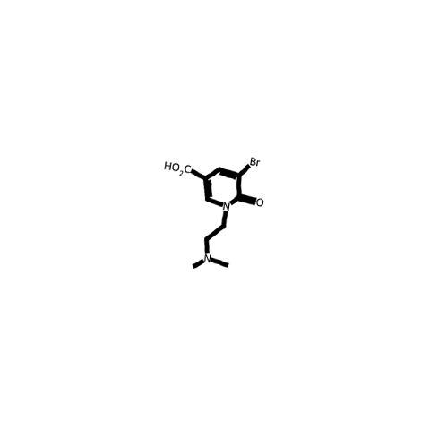 CN(C)CCn1cc(C(=O)O)cc(Br)c1=O